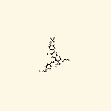 CCOC(=O)C1=C(c2ccc(-c3ccc(OC(F)(F)F)cc3)c(Cl)c2)N(Cc2ccc(OC)cc2)NN1